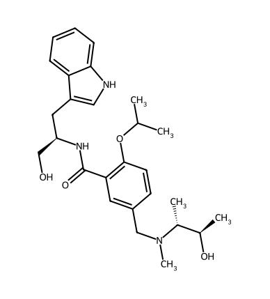 CC(C)Oc1ccc(CN(C)[C@H](C)[C@@H](C)O)cc1C(=O)N[C@@H](CO)Cc1c[nH]c2ccccc12